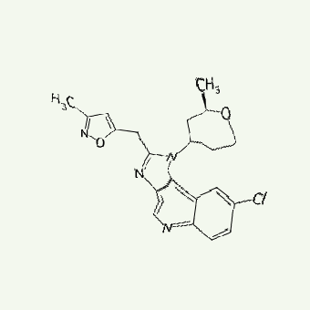 Cc1cc(Cc2nc3cnc4ccc(Cl)cc4c3n2C2CCO[C@H](C)C2)on1